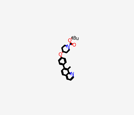 Cc1c(-c2ccc(OC3CCN(C(=O)OC(C)(C)C)CC3)cc2)ccc2cccnc12